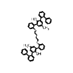 Cc1cc(-c2ccccc2SCCCCSc2ccccc2-c2cc(C)cc(-c3ccccc3-c3ccccc3)c2O)c(O)c(-c2ccccc2-c2ccccc2)c1